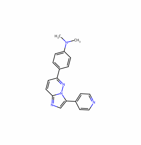 CN(C)c1ccc(-c2ccc3ncc(-c4ccncc4)n3n2)cc1